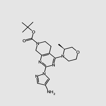 C[C@H]1COCCN1c1nc(-n2cc(N)cn2)nc2c1CCN(C(=O)OC(C)(C)C)C2